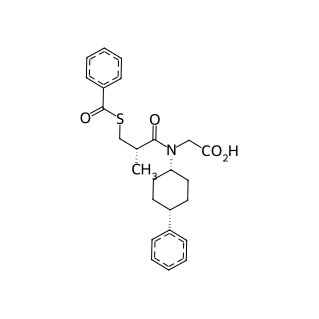 C[C@H](CSC(=O)c1ccccc1)C(=O)N(CC(=O)O)[C@H]1CC[C@@H](c2ccccc2)CC1